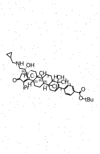 CC(C)C1=C2[C@H]3CC[C@@H]4[C@@]5(C)CC=C(c6ccc(C(=O)OC(C)(C)C)cc6)C(C)(C)[C@@H]5CC[C@@]4(C)[C@]3(C)CC[C@@]2([C@@H](O)CNCC2CC2)CC1=O